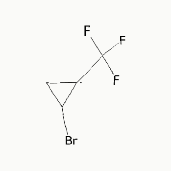 FC(F)(F)[C]1CC1Br